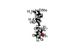 COc1nc(N)nc2c1ncn2[C@@H]1OC(COP(=O)(N[C@@H](C)C(=O)OC(C)C)SCC2C(=O)NC(=O)N2C)[C@@H](O)[C@@]1(C)O